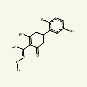 CCCC(=NOCC)C1=C(O)CC(c2cc([N+](=O)[O-])ccc2F)CC1=O